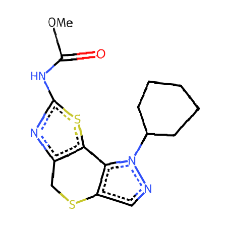 COC(=O)Nc1nc2c(s1)-c1c(cnn1C1CCCCC1)SC2